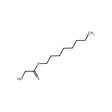 CCCCCCCCSC(=S)CO